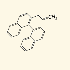 C=CCc1ccc2ccccc2c1-c1cccc2ccccc12